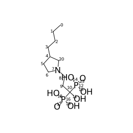 CCCCC1CCN(CCC(O)(P(=O)(O)O)P(=O)(O)O)C1